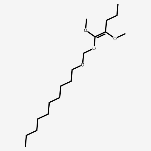 CCCCCCCCCCOCOC(OC)=C(CCC)OC